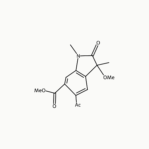 COC(=O)c1cc2c(cc1C(C)=O)C(C)(OC)C(=O)N2C